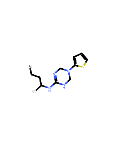 CCC(CCC(C)=O)NC1=NCN(c2cccs2)CN1